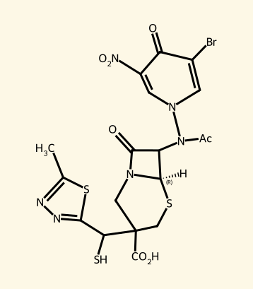 CC(=O)N(C1C(=O)N2CC(C(=O)O)(C(S)c3nnc(C)s3)CS[C@H]12)n1cc(Br)c(=O)c([N+](=O)[O-])c1